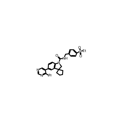 CCS(=O)(=O)c1ccc(CNC(=O)N2CC3(CCCC3)c3cc(-c4cncnc4C(C)C)ccc32)cc1